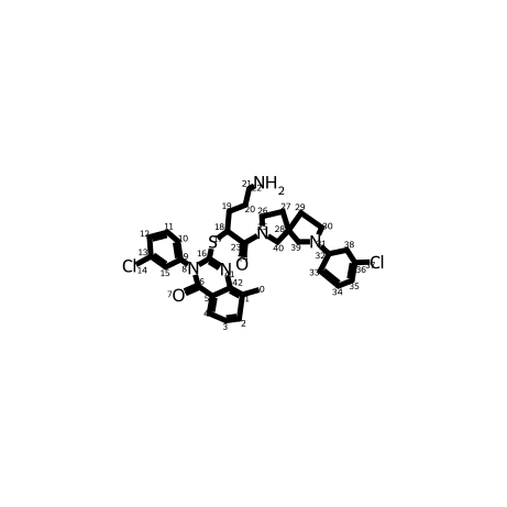 Cc1cccc2c(=O)n(-c3cccc(Cl)c3)c(SC(CCCN)C(=O)N3CCC4(CCN(C5C=CC=C(Cl)C5)C4)C3)nc12